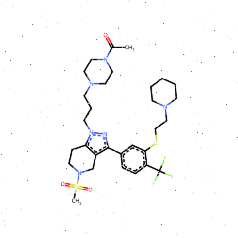 CC(=O)N1CCN(CCCn2nc(-c3ccc(C(F)(F)F)c(SCCN4CCCCC4)c3)c3c2CCN(S(C)(=O)=O)C3)CC1